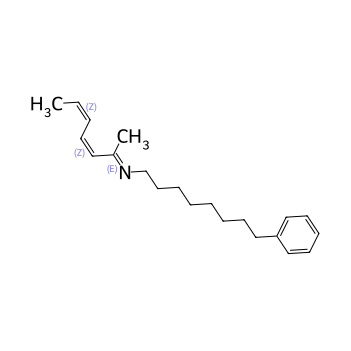 C\C=C/C=C\C(C)=N\CCCCCCCCc1ccccc1